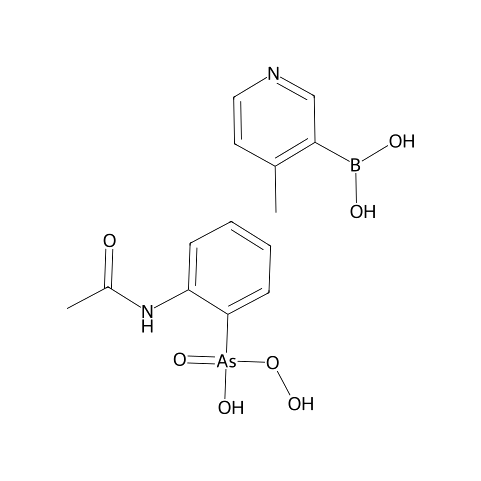 CC(=O)Nc1ccccc1[As](=O)(O)OO.Cc1ccncc1B(O)O